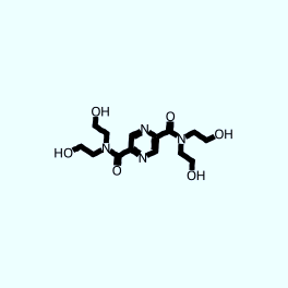 O=C(c1cnc(C(=O)N(CCO)CCO)cn1)N(CCO)CCO